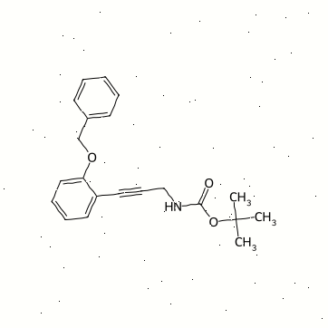 CC(C)(C)OC(=O)NCC#Cc1ccccc1OCc1ccccc1